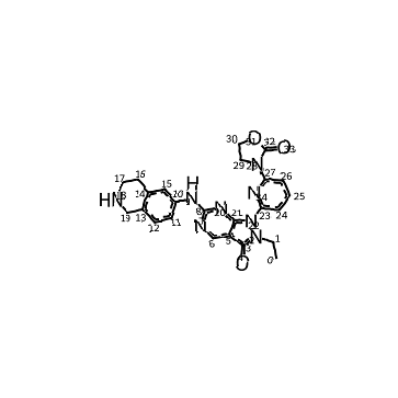 CCn1c(=O)c2cnc(Nc3ccc4c(c3)CCNC4)nc2n1-c1cccc(N2CCOC2=O)n1